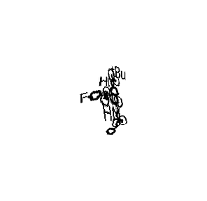 CC(C)(C)OC(=O)Nc1ccc2c(c1)N(S(=O)(=O)c1ccc(F)cc1)C[C@H](CNC(=O)OCc1ccccc1)O2